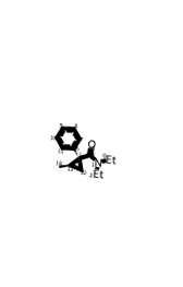 CCN(CC)C(=O)[C@@]1(c2ccccc2)C[C@H]1C